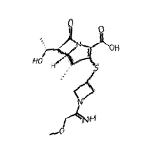 COCC(=N)N1CC(SC2=C(C(=O)O)N3C(=O)[C@H]([C@@H](C)O)[C@H]3[C@H]2C)C1